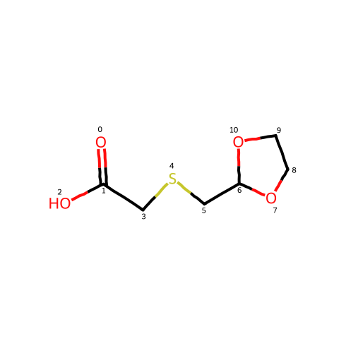 O=C(O)CSCC1OCCO1